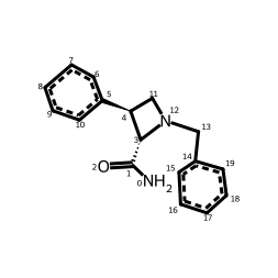 NC(=O)[C@@H]1[C@@H](c2ccccc2)CN1Cc1ccccc1